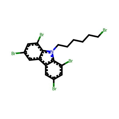 BrCCCCCCn1c2c(Br)cc(Br)cc2c2cc(Br)cc(Br)c21